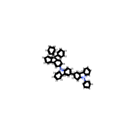 c1ccc(-n2c3ccccc3c3cc(-c4ccc5c(c4)c4ccccc4n5-c4ccc5c(c4)-c4ccccc4[Si]5(c4ccccc4)c4ccccc4)ccc32)cc1